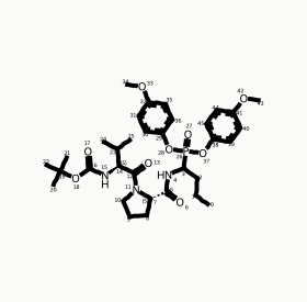 CCCC(NC(=O)[C@@H]1CCCN1C(=O)[C@@H](NC(=O)OC(C)(C)C)C(C)C)P(=O)(Oc1ccc(OC)cc1)Oc1ccc(OC)cc1